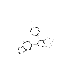 C[C@@H]1Cn2nc(-c3ccc4ccsc4c3)c(-c3ccncc3)c2CN1.Cl